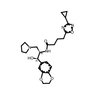 O=C(CCCc1nc(C2CC2)no1)N[C@H](CN1CCCC1)[C@H](O)c1ccc2c(c1)OCCO2